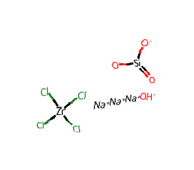 O=[Si]([O-])[O-].[Cl][Zr]([Cl])([Cl])[Cl].[Na+].[Na+].[Na+].[OH-]